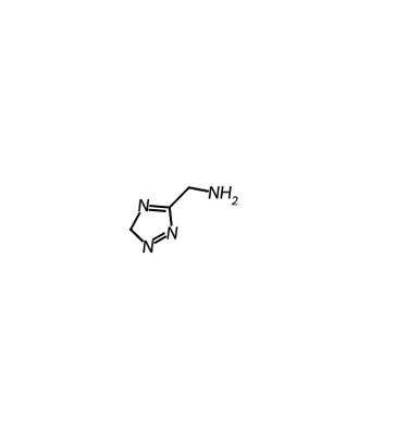 NCC1=NCN=N1